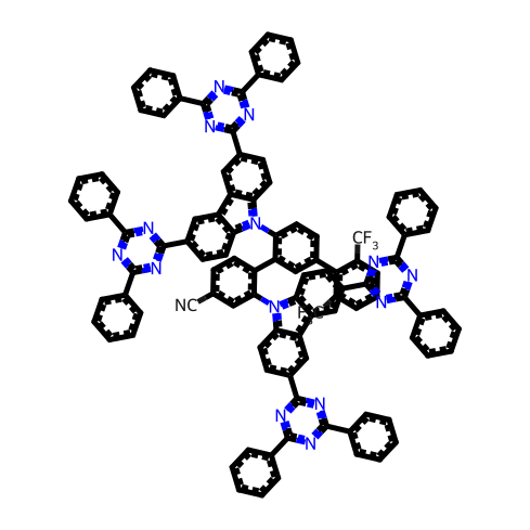 N#Cc1ccc(-c2cc(-c3c(C(F)(F)F)cccc3C(F)(F)F)ccc2-n2c3ccc(-c4nc(-c5ccccc5)nc(-c5ccccc5)n4)cc3c3cc(-c4nc(-c5ccccc5)nc(-c5ccccc5)n4)ccc32)c(-n2c3ccc(-c4nc(-c5ccccc5)nc(-c5ccccc5)n4)cc3c3cc(-c4nc(-c5ccccc5)nc(-c5ccccc5)n4)ccc32)c1